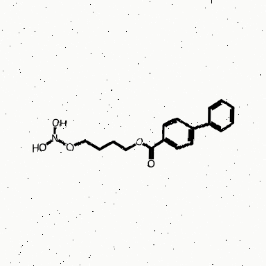 O=C(OCCCCON(O)O)c1ccc(-c2ccccc2)cc1